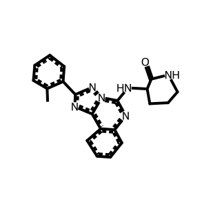 Cc1ccccc1-c1nc2c3ccccc3nc(NC3CCCNC3=O)n2n1